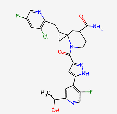 C[C@H](O)c1cc(-c2cc(C(=O)N3CCC(C(N)=O)CC34CC4Cc3ncc(F)cc3Cl)n[nH]2)c(F)cn1